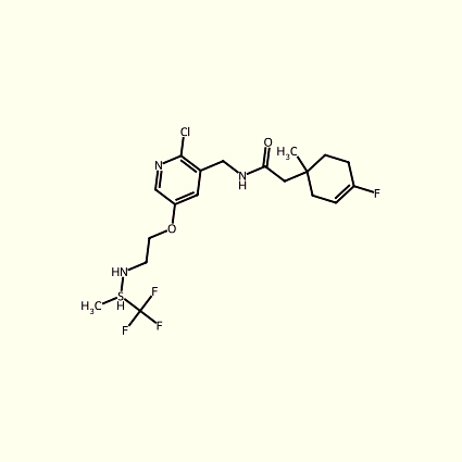 C[SH](NCCOc1cnc(Cl)c(CNC(=O)CC2(C)CC=C(F)CC2)c1)C(F)(F)F